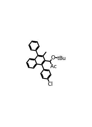 CC(=O)C(OC(C)(C)C)c1c(C)c(-c2ccccc2)c2ccccc2c1-c1ccc(Cl)cc1